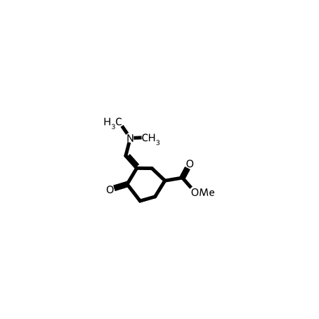 COC(=O)C1CCC(=O)/C(=C/N(C)C)C1